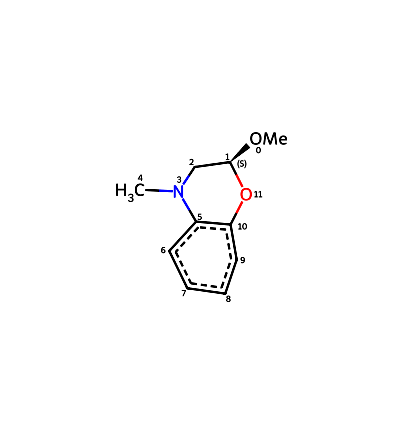 CO[C@@H]1CN(C)c2ccccc2O1